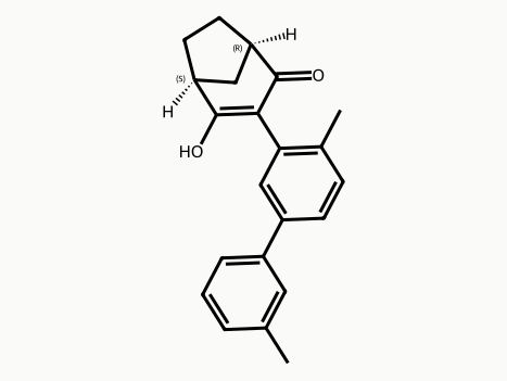 Cc1cccc(-c2ccc(C)c(C3=C(O)[C@H]4CC[C@H](C4)C3=O)c2)c1